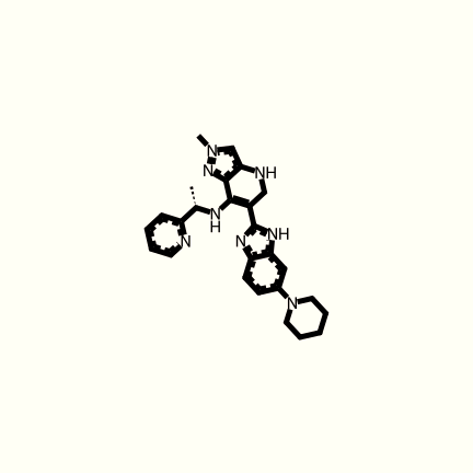 C[C@H](NC1=C(c2nc3ccc(N4CCCCC4)cc3[nH]2)CNc2cn(C)nc21)c1ccccn1